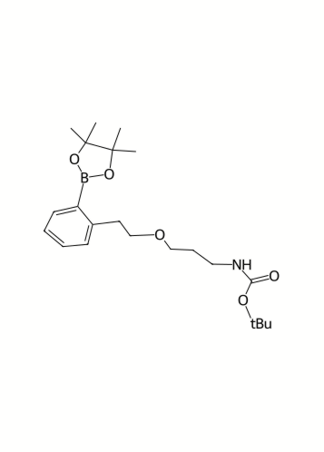 CC(C)(C)OC(=O)NCCCOCCc1ccccc1B1OC(C)(C)C(C)(C)O1